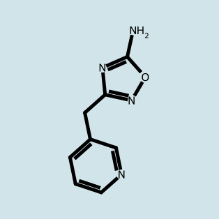 Nc1nc(Cc2cccnc2)no1